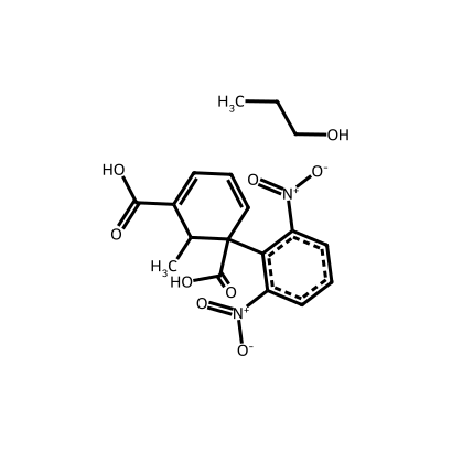 CC1C(C(=O)O)=CC=CC1(C(=O)O)c1c([N+](=O)[O-])cccc1[N+](=O)[O-].CCCO